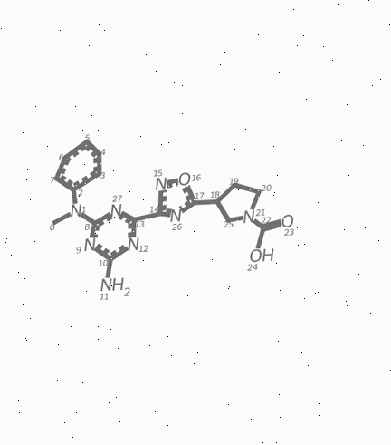 CN(c1ccccc1)c1nc(N)nc(-c2noc(C3CCN(C(=O)O)C3)n2)n1